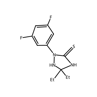 CCC1(CC)NC(=S)N(c2cc(F)cc(F)c2)N1